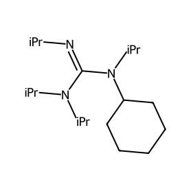 CC(C)N=C(N(C(C)C)C(C)C)N(C(C)C)C1CCCCC1